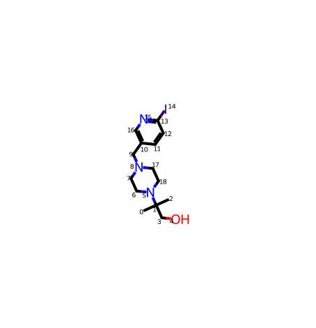 CC(C)(CO)N1CCN(Cc2ccc(I)nc2)CC1